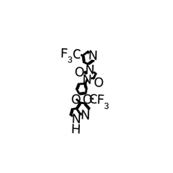 O=C1CN(c2cncc(C(F)(F)F)c2)C(=O)N1c1ccc(Oc2ccnc3[nH]ccc23)c(OC(F)(F)F)c1